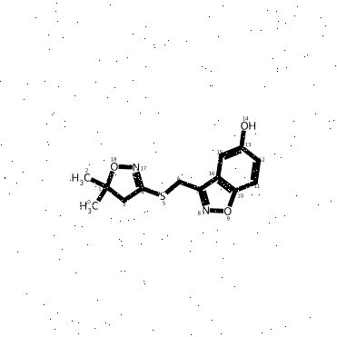 CC1(C)CC(SCc2noc3ccc(O)cc23)=NO1